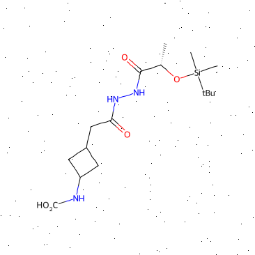 C[C@H](O[Si](C)(C)C(C)(C)C)C(=O)NNC(=O)CC1CC(NC(=O)O)C1